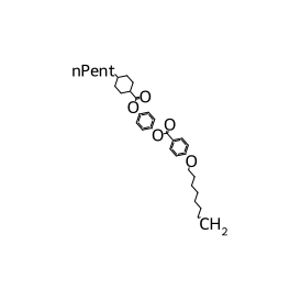 C=CCCCCCCOc1ccc(C(=O)Oc2ccc(OC(=O)C3CCC(CCCCC)CC3)cc2)cc1